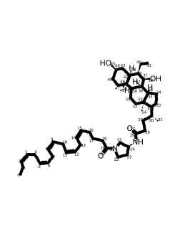 CC/C=C\C/C=C\C/C=C\C/C=C\C/C=C\CCCC(=O)N1CC[C@@H](NC(=O)CC[C@@H](C)C2CC[C@H]3[C@@H]4[C@H](O)[C@H](CC)[C@@H]5C[C@H](O)CC[C@]5(C)[C@H]4CC[C@]23C)C1